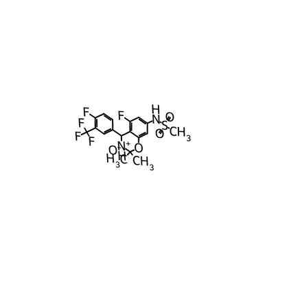 CC1(C)Oc2cc(NS(C)(=O)=O)cc(F)c2C(c2ccc(F)c(C(F)(F)F)c2)[NH+]1[O-]